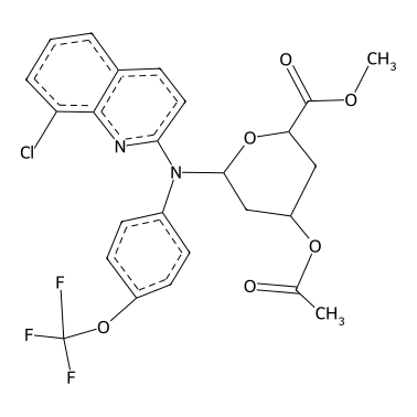 COC(=O)C1CC(OC(C)=O)CC(N(c2ccc(OC(F)(F)F)cc2)c2ccc3cccc(Cl)c3n2)O1